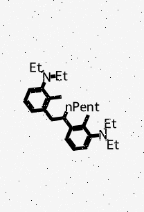 CCCCCC(Cc1cccc(N(CC)CC)c1C)c1cccc(N(CC)CC)c1C